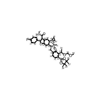 CNC(=O)c1c(-c2ccc(F)cc2)oc2cc(N(Cc3ccc(B4OC(C)(C)C(C)(C)O4)c(C(C)OCOC)c3)S(C)(=O)=O)c(C3CC3)cc12